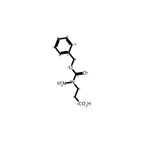 NN(CCC(=O)O)C(=O)OCc1ccccc1